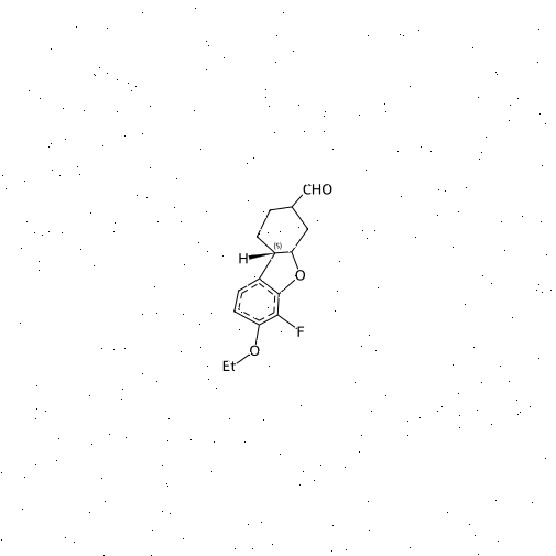 CCOc1ccc2c(c1F)OC1CC(C=O)CC[C@@H]21